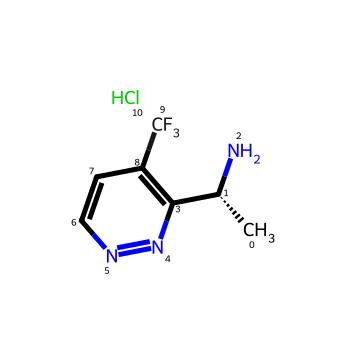 C[C@@H](N)c1nnccc1C(F)(F)F.Cl